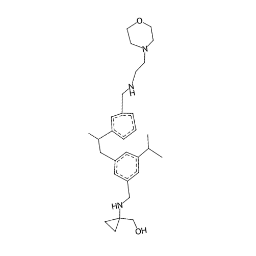 CC(C)c1cc(CNC2(CO)CC2)cc(CC(C)c2cccc(CNCCN3CCOCC3)c2)c1